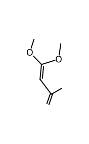 C=C(C)C=C(OC)OC